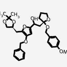 COc1ccc(CO[C@]2(CC(O)c3cc(OCc4ccccc4)c(C[C@H]4COC(C)(C)O4)o3)CCCO2)cc1